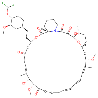 CO[C@H]1C[C@@H]2CC[C@@H](C)[C@@](O)(O2)C(=O)C(=O)N2CCCC[C@H]2C(=O)O[C@H](CC[C@@H]2CC[C@@H](OC(F)F)[C@H](OC)C2)CC(=O)C/C=C(\C)[C@@H](O)[C@@H](OC)C(=O)CCC/C=C/C=C/C=C/1C